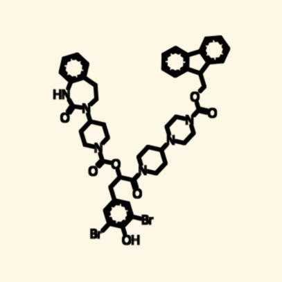 O=C(OCC1c2ccccc2-c2ccccc21)N1CCN(C2CCN(C(=O)C(Cc3cc(Br)c(O)c(Br)c3)OC(=O)N3CCC(N4CCc5ccccc5NC4=O)CC3)CC2)CC1